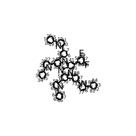 N#Cc1c(-n2c3ccc(-c4cccc(-c5ccccc5)n4)cc3c3cc(-c4cccc(-c5ccccc5)n4)ccc32)cc(-c2cc(F)cc(F)c2)cc1-n1c2ccc(-c3cccc(-c4ccccc4)n3)cc2c2cc(-c3cccc(-c4ccccc4)n3)ccc21